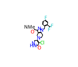 CNC(=O)c1nn(Cc2ccc(F)cc2C(F)F)c2c1CN(c1cn[nH]c(=O)c1Cl)CC2